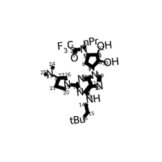 CCCN(C(=O)C(F)(F)F)[C@H]1C[C@@H](n2cnc3c(NCCC(C)(C)C)nc(N4CC[C@@H](N(C)C)C4)nc32)[C@H](O)[C@@H]1O